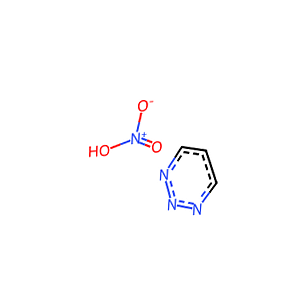 O=[N+]([O-])O.c1cnnnc1